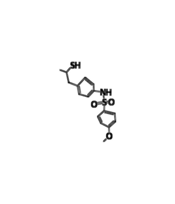 COc1ccc(S(=O)(=O)Nc2ccc(CC(C)S)cc2)cc1